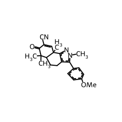 COc1ccc(-c2c3c(nn2C)[C@@]2(C)C=C(C#N)C(=O)C(C)(C)C2CC3)cc1